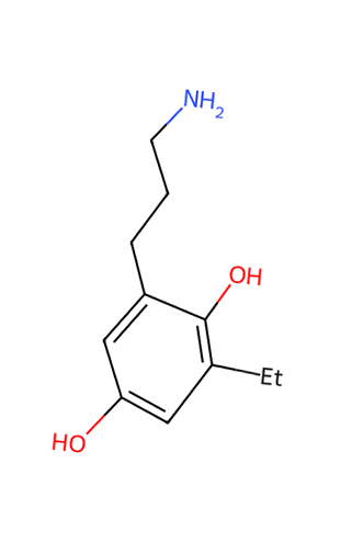 CCc1cc(O)cc(CCCN)c1O